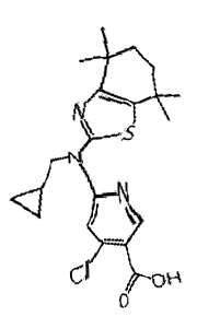 CC1(C)CCC(C)(C)c2sc(N(CC3CC3)c3cc(Cl)c(C(=O)O)cn3)nc21